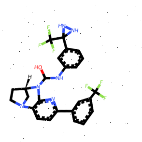 OC(Nc1cccc(C2(C(F)(F)F)NN2)c1)N1c2nc(-c3cccc(C(F)(F)F)c3)ccc2N2CC[C@H]1C2